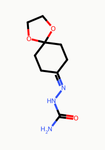 NC(=O)NN=C1CCC2(CC1)OCCO2